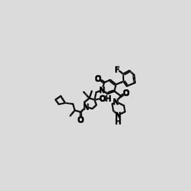 CC(CC1CCC1)C(=O)N1CCC(O)(Cn2cc(C(=O)N3CCNCC3)c(-c3ccccc3F)cc2=O)C(C)(C)C1